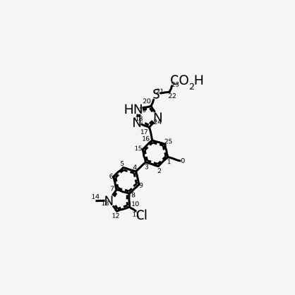 Cc1cc(-c2ccc3c(c2)c(Cl)cn3C)cc(-c2n[nH]c(SCC(=O)O)n2)c1